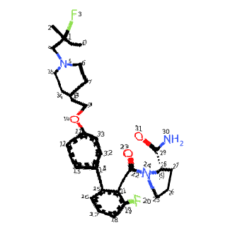 CC(C)(F)CN1CCC(COc2ccc(-c3cccc(F)c3C(=O)N3CCC[C@H]3C(N)=O)cc2)CC1